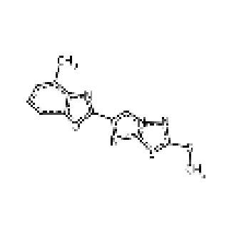 CSc1nn2cc(-c3nc4c(C)cccc4o3)nc2s1